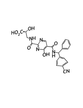 N#Cc1ccc(C(NC(=O)c2cnc(C(=O)NC[C@H](O)C(=O)O)nc2O)c2ccccc2)cc1